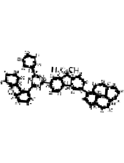 CC1(C)c2ccc(-c3ccc4ccc5cccc6ccc3c4c56)cc2-c2ccc(-c3nc(-c4ccccc4)nc(-c4cccc5oc6ccccc6c45)n3)cc21